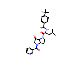 CC(C)CC(NC(=O)c1ccc(C(C)(C)C)cc1)C(=O)N1CCC2C1C(=O)CN2C(=O)c1cccnc1